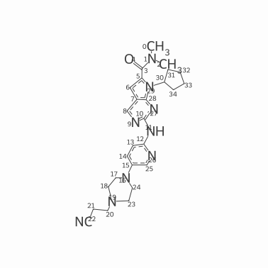 CN(C)C(=O)c1cc2cnc(Nc3ccc(N4CCN(CCC#N)CC4)cn3)nc2n1C1CCCC1